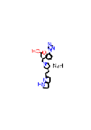 O=C(O)C[C@H](CN1CC[C@@H](CCc2ccc3c(n2)NCCC3)C1)c1cccc(-n2cncn2)c1.[NaH]